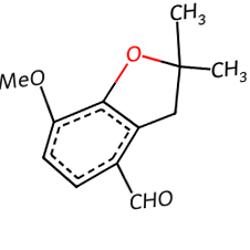 COc1ccc(C=O)c2c1OC(C)(C)C2